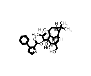 CC1=C[C@]23C(=O)[C@@H](C=C(CO)[C@@H](O)[C@]2(O)[C@H]1OC(=O)c1sccc1-c1ccccc1)C1[C@@H](C[C@H]3C)C1(C)C